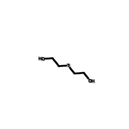 OC[CH2][Ti][CH2]CO